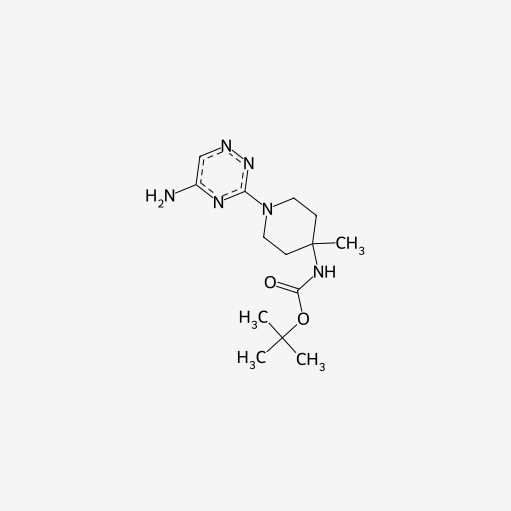 CC1(NC(=O)OC(C)(C)C)CCN(c2nncc(N)n2)CC1